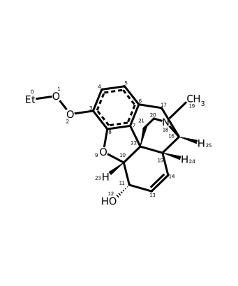 CCOOc1ccc2c3c1O[C@H]1[C@@H](O)C=C[C@H]4[C@@H](C2)N(C)CC[C@@]341